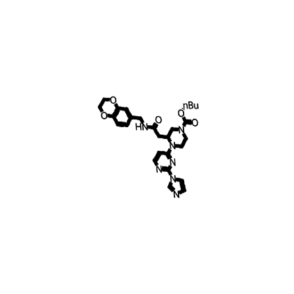 CCCCOC(=O)N1CCN(c2ccnc(-n3ccnc3)n2)C(CC(=O)NCc2ccc3c(c2)OCCO3)C1